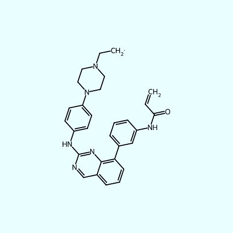 [CH2]CN1CCN(c2ccc(Nc3ncc4cccc(-c5cccc(NC(=O)C=C)c5)c4n3)cc2)CC1